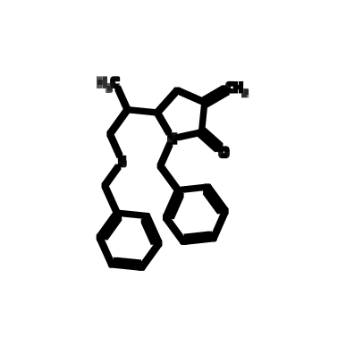 C=C1CC(C(C)CSCc2ccccc2)N(Cc2ccccc2)C1=O